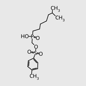 Cc1ccc(S(=O)(=O)OCP(=O)(O)CCCCCC(C)C)cc1